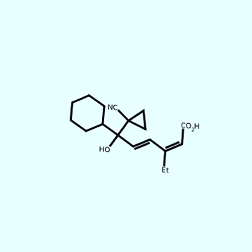 CCC(=C/C(=O)O)/C=C/C(O)(C1CCCCC1)C1(C#N)CC1